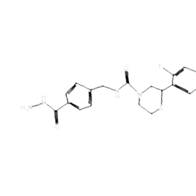 NNC(=O)c1ccc(CNC(=O)N2CCSC(c3ccccc3F)C2)cc1